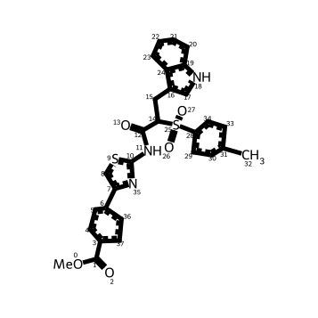 COC(=O)c1ccc(-c2csc(NC(=O)C(Cc3c[nH]c4ccccc34)S(=O)(=O)c3ccc(C)cc3)n2)cc1